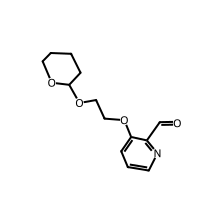 O=Cc1ncccc1OCCOC1CCCCO1